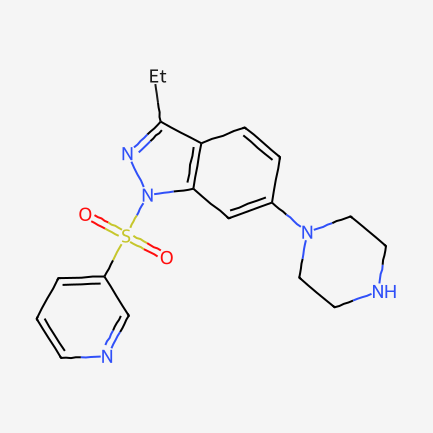 CCc1nn(S(=O)(=O)c2cccnc2)c2cc(N3CCNCC3)ccc12